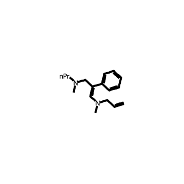 C=CCN(C)/C=C(/CN(C)CCC)c1ccccc1